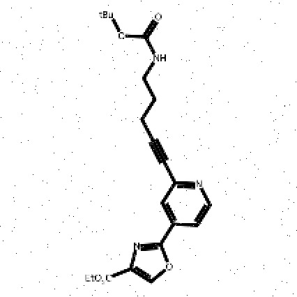 CCOC(=O)c1coc(-c2ccnc(C#CCCCNC(=O)OC(C)(C)C)c2)n1